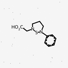 O=C(O)CN1CCCN(c2ccccc2)S1